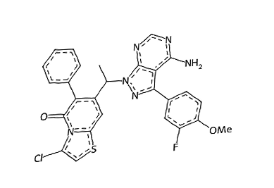 COc1ccc(-c2nn(C(C)c3cc4scc(Cl)n4c(=O)c3-c3ccccc3)c3ncnc(N)c23)cc1F